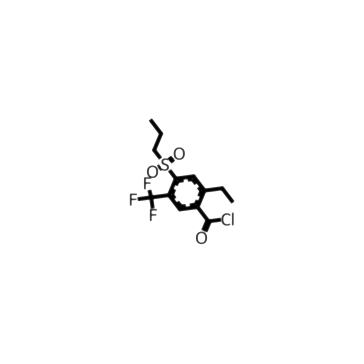 CCCS(=O)(=O)c1cc(CC)c(C(=O)Cl)cc1C(F)(F)F